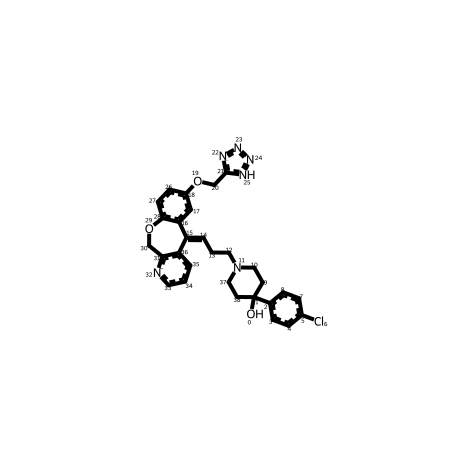 OC1(c2ccc(Cl)cc2)CCN(CCC=C2c3cc(OCc4nnn[nH]4)ccc3OCc3ncccc32)CC1